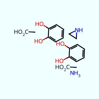 C1CN1.CC(=O)O.CC(=O)O.N.Oc1ccccc1O.Oc1ccccc1O